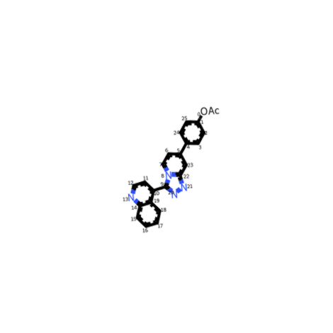 CC(=O)Oc1ccc(-c2ccn3c(-c4ccnc5ccccc45)nnc3c2)cc1